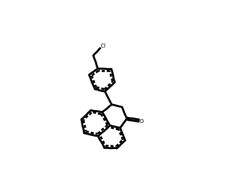 O=C1CC(c2ccc(CCl)cc2)c2cccc3cccc1c23